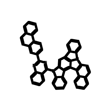 c1ccc2c(c1)ccc1cc(-c3nc(-n4c5ccccc5c5c6c7c8ccccc8ccc7n7c8ccccc8c(cc54)c67)c4ccccc4n3)ccc12